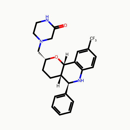 O=C1CN(C[C@H]2CC[C@@H]3[C@H](O2)c2cc(C(F)(F)F)ccc2N[C@H]3c2ccccc2)CCN1